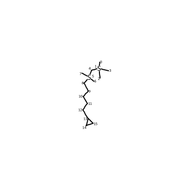 CS(C)(C)CS(C)(C)CCCCCC1CC1